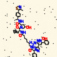 Cc1ncsc1-c1ccc(C(C)NC(=O)C2CC(O)CN2C(=O)C(NC(=O)CCCCCCNC(=O)C(c2ccccc2)n2cc(-c3cc(-c4ccccc4O)nnc3N)cn2)C(C)(C)C)cc1